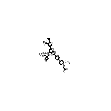 COCC1(CN(C)c2cc(-c3cnc(C4CC4)c(C(F)(F)F)c3)nc3nc(-c4cnc(N5CCN(CCC(=O)[O-])[C@@H](C)C5)cn4)[nH]c23)CCC1.[Na+]